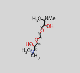 CNC(C)C(O)COCCOCC(O)CN(C)C